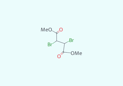 COC(=O)C(Br)C(Br)C(=O)OC